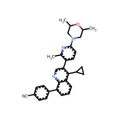 Cc1nc(N2CC(C)OC(C)C2)ccc1-c1cnc2c(-c3ccc(C#N)cc3)cccc2c1C1CC1